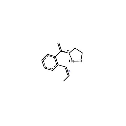 C=C(c1ccccc1/C=C\C)[C@H]1CCON1